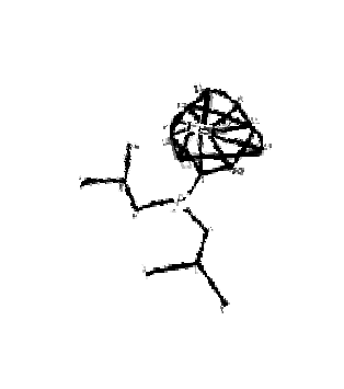 CC(C)CP(CC(C)C)[C]12[CH]3[CH]4[CH]5[CH]1[Fe]45321678[CH]2[CH]1[CH]6[CH]7[CH]28